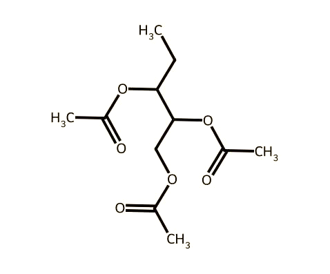 CCC(OC(C)=O)C(COC(C)=O)OC(C)=O